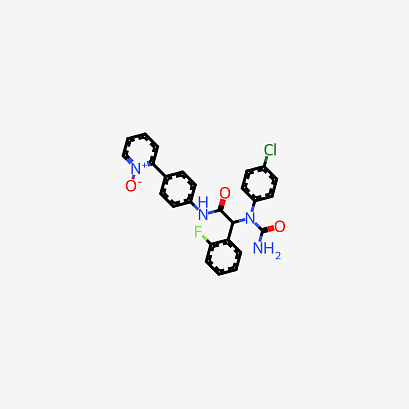 NC(=O)N(c1ccc(Cl)cc1)C(C(=O)Nc1ccc(-c2cccc[n+]2[O-])cc1)c1ccccc1F